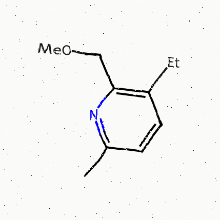 CCc1ccc(C)nc1COC